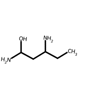 CCC(N)CC(N)O